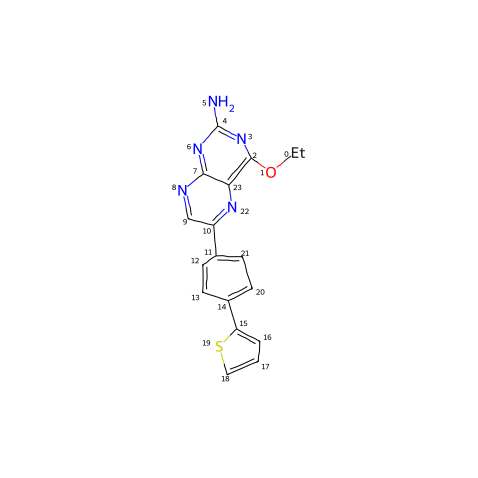 CCOc1nc(N)nc2ncc(-c3ccc(-c4cccs4)cc3)nc12